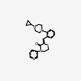 O=C1C(=Cc2ccccc2N2CCN(C3CC3)CC2)SCCN1c1cccnc1